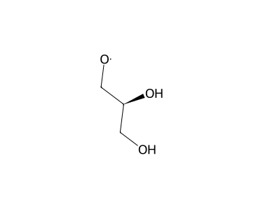 [O]C[C@@H](O)CO